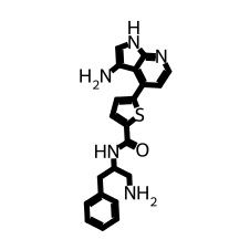 NCC(Cc1ccccc1)NC(=O)c1ccc(-c2ccnc3[nH]cc(N)c23)s1